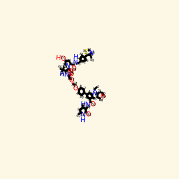 CCN(c1cc(-c2ccc(OCCOCC(=O)N[C@H](C(=O)N3C[C@H](O)C[C@H]3C(=O)NCc3ccc(-c4scnc4C)cc3)C(C)(C)C)cc2)cc(C(=O)NCc2c(C)cc(C)[nH]c2=O)c1C)C1CCOCC1